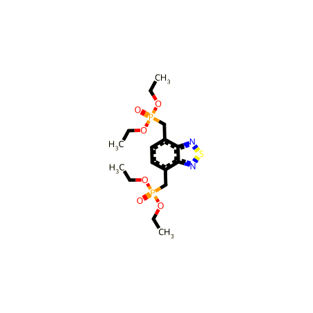 CCOP(=O)(Cc1ccc(CP(=O)(OCC)OCC)c2nsnc12)OCC